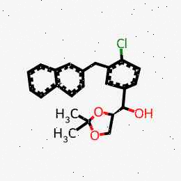 CC1(C)OC[C@H](C(O)c2ccc(Cl)c(Cc3ccc4ccccc4c3)c2)O1